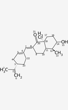 C=C(C)[C@@H]1CC=C(/C=C2\CCC3[C@H](C)C(O)CC[C@]3(C)C2=O)CC1